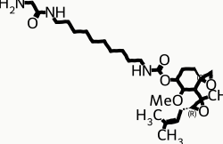 COC1C(OC(=O)NCCCCCCCCCCNC(=O)CN)CC[C@]2(CO2)C1C1(C)O[C@@H]1CC=C(C)C